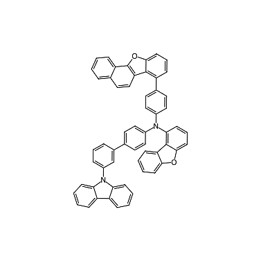 c1cc(-c2ccc(N(c3ccc(-c4cccc5oc6c7ccccc7ccc6c45)cc3)c3cccc4oc5ccccc5c34)cc2)cc(-n2c3ccccc3c3ccccc32)c1